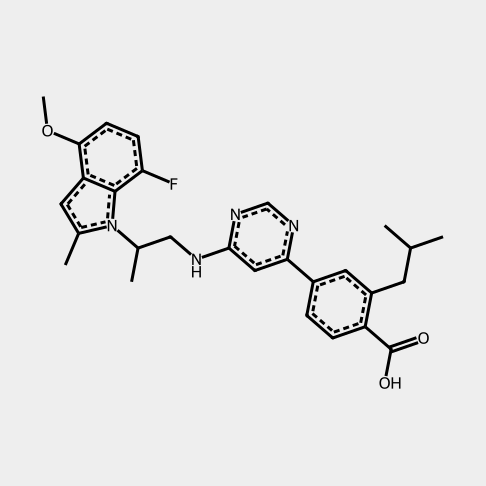 COc1ccc(F)c2c1cc(C)n2C(C)CNc1cc(-c2ccc(C(=O)O)c(CC(C)C)c2)ncn1